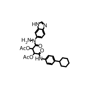 CC(=O)OC(C(=O)Nc1ccc(C2CCCCC2)cc1)C(OC(C)=O)C(=O)N(N)c1ccc2nc[nH]c2c1